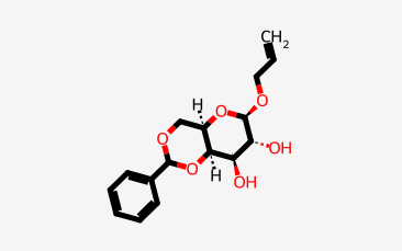 C=CCO[C@@H]1O[C@@H]2COC(c3ccccc3)O[C@@H]2[C@H](O)[C@H]1O